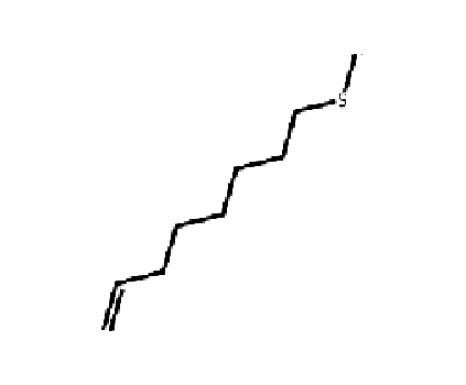 [CH2]SCCCCCCC=C